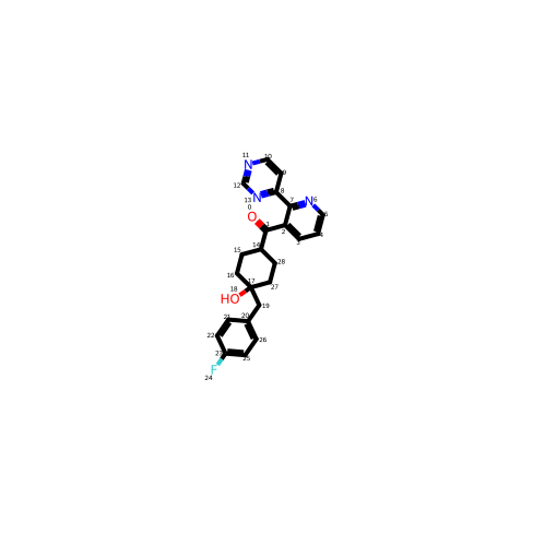 O=C(c1cccnc1-c1ccncn1)C1CCC(O)(Cc2ccc(F)cc2)CC1